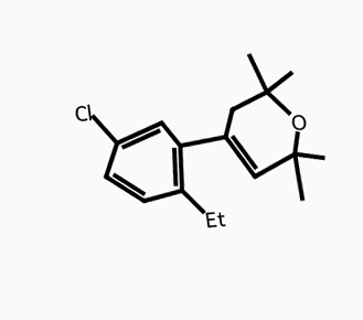 CCc1ccc(Cl)cc1C1=CC(C)(C)OC(C)(C)C1